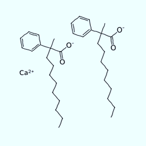 CCCCCCCCCC(C)(C(=O)[O-])c1ccccc1.CCCCCCCCCC(C)(C(=O)[O-])c1ccccc1.[Ca+2]